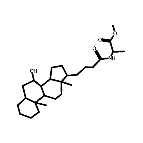 COC(=O)C(C)NC(=O)CCCC1CCC2C3C(O)CC4CCCCC4(C)C3CCC12C